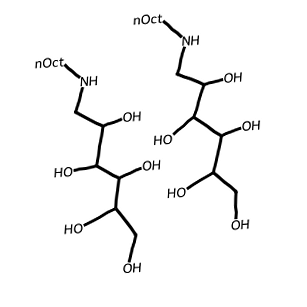 CCCCCCCCNCC(O)C(O)C(O)C(O)CO.CCCCCCCCNCC(O)C(O)C(O)C(O)CO